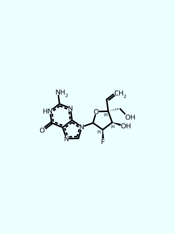 C=C[C@]1(CO)OC(n2cnc3c(=O)[nH]c(N)nc32)[C@H](F)[C@@H]1O